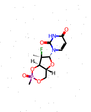 C[C@@]1(F)[C@@H]2OP(C)(=O)OC[C@H]2O[C@H]1n1ccc(=O)[nH]c1=O